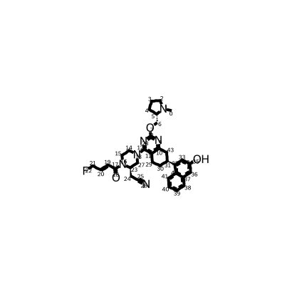 CN1CCC[C@H]1COc1nc2c(c(N3CCN(C(=O)/C=C/CF)[C@H](CC#N)C3)n1)CC[C@H](c1cc(O)cc3ccccc13)C2